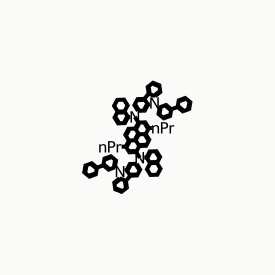 CCCc1cc(N(c2ccc3c4ccccc4n(-c4cccc(-c5ccccc5)c4)c3c2)c2cccc3c2CCCC3)c2ccc3c(CCC)cc(N(c4ccc5c6ccccc6n(-c6cccc(-c7ccccc7)c6)c5c4)c4cccc5c4CCCC5)c4ccc1c2c34